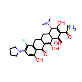 C=C1C(C(N)=O)=C(O)[C@@H](N(C)C)C2CC3Cc4c(F)c(N5CCCC5)cc(O)c4C(=O)C3=C(O)[C@]12O